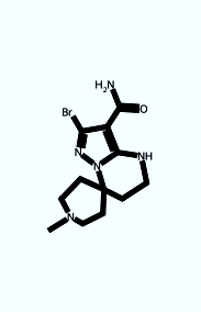 CN1CCC2(CCNc3c(C(N)=O)c(Br)nn32)CC1